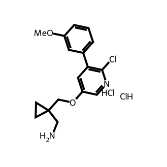 COc1cccc(-c2cc(OCC3(CN)CC3)cnc2Cl)c1.Cl.Cl